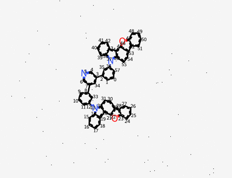 c1cc(-c2cncc(-c3cccc(-n4c5ccccc5c5c6oc7ccccc7c6ccc54)c3)c2)cc(-n2c3ccccc3c3c4oc5ccccc5c4ccc32)c1